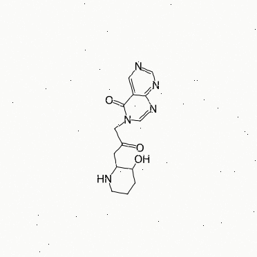 O=C(CC1NCCCC1O)Cn1cnc2ncncc2c1=O